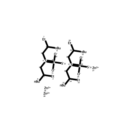 CCCCC(CC)CS(CC(CC)CCCC)=P([O-])([O-])[S-].CCCCC(CC)CS(CC(CC)CCCC)=P([O-])([O-])[S-].[Zn+2].[Zn+2].[Zn+2]